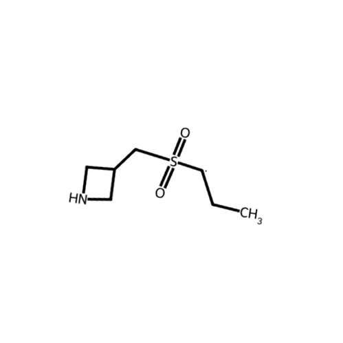 CC[CH]S(=O)(=O)CC1CNC1